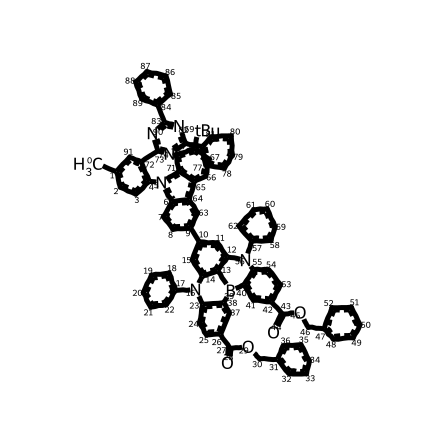 Cc1ccc(-n2c3ccc(-c4cc5c6c(c4)N(c4ccccc4)c4ccc(C(=O)OCc7ccccc7)cc4B6c4cc(C(=O)OCc6ccccc6)ccc4N5c4ccccc4)cc3c3ccc(C(C)(C)C)cc32)c(-c2nc(-c3ccccc3)nc(-c3ccccc3)n2)c1